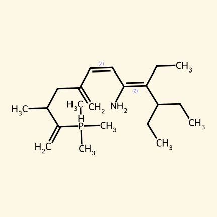 C=C(/C=C\C(N)=C(/CC)C(CC)CC)CC(C)C(=C)[PH](C)(C)C